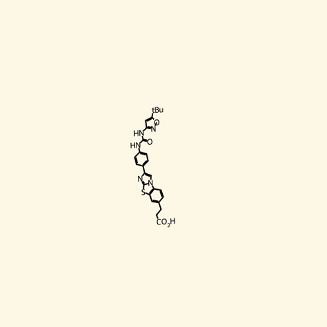 CC(C)(C)c1cc(NC(=O)Nc2ccc(-c3cn4c(n3)sc3cc(CCC(=O)O)ccc34)cc2)no1